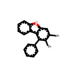 CC(C)c1cc2oc3ccccc3c2c(-c2[c]cccc2)c1C(C)C